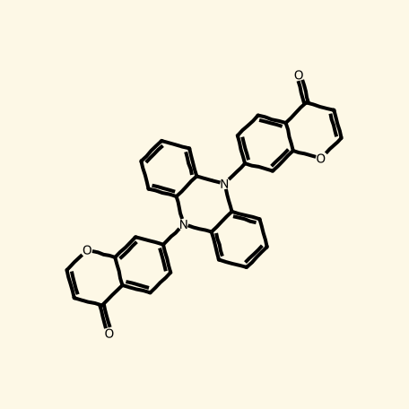 O=c1ccoc2cc(N3c4ccccc4N(c4ccc5c(=O)ccoc5c4)c4ccccc43)ccc12